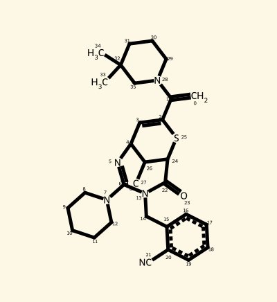 C=C(C1=CC2N=C(N3CCCCC3)N(Cc3ccccc3C#N)C(=O)C(S1)C2C)N1CCCC(C)(C)C1